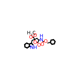 COC(=O)C1(Cc2c[nH]c3ccccc23)CC(NC(=O)OCc2ccccc2)C(=O)O1